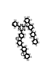 c1ccc(-c2ccc(-c3ccc4c5ccccc5n(-c5nc(-c6ccccc6)nc(-c6ccc7c(c6)oc6ccc(-c8ccc9c(c8)oc8ccccc89)cc67)n5)c4c3)cc2)cc1